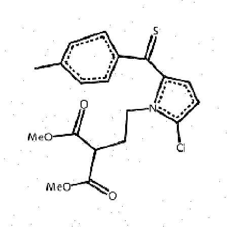 COC(=O)C(CCn1c(Cl)ccc1C(=S)c1ccc(C)cc1)C(=O)OC